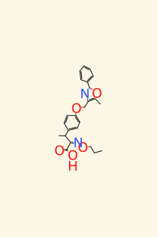 CCCON=C(C(=O)O)C(C)c1ccc(OCc2nc(-c3ccccc3)oc2C)cc1